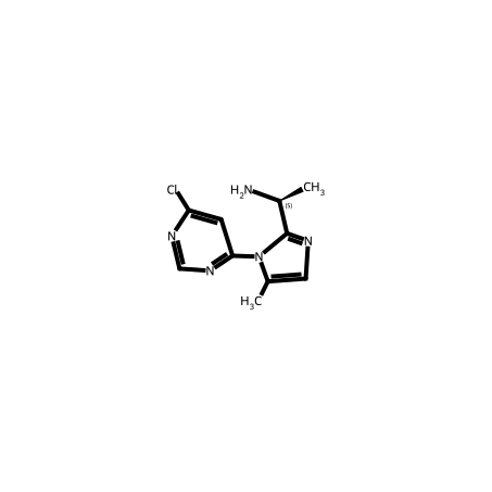 Cc1cnc([C@H](C)N)n1-c1cc(Cl)ncn1